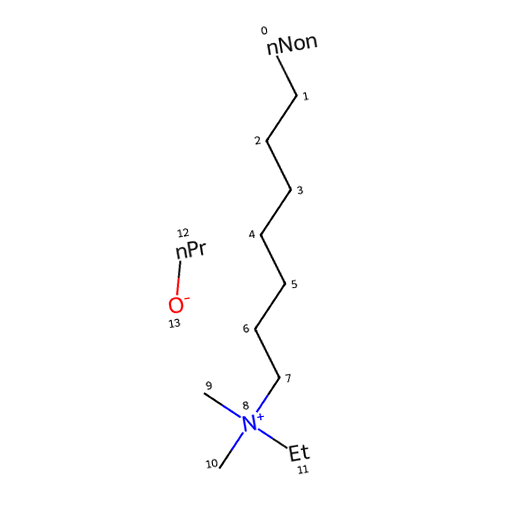 CCCCCCCCCCCCCCCC[N+](C)(C)CC.CCC[O-]